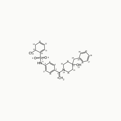 C=C(c1ccc(NS(=O)(=O)C2=CC=CCC2Cl)cc1)N1CCC(O)(Cc2ccccc2)CC1